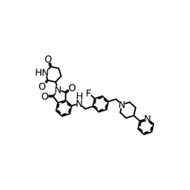 O=C1CCC(N2C(=O)c3cccc(NCc4ccc(CN5CCC(c6ccccn6)CC5)cc4F)c3C2=O)C(=O)N1